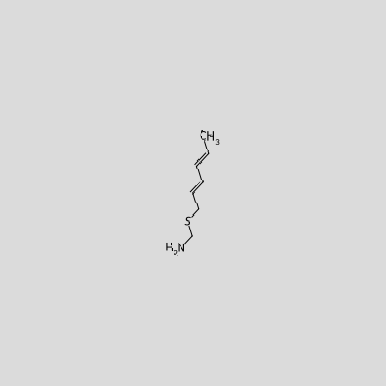 CC=CC=CCSCN